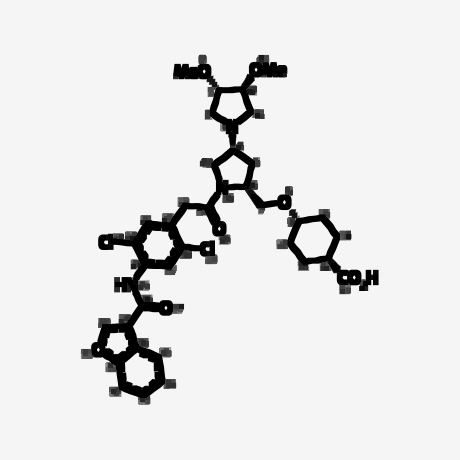 CO[C@H]1CN([C@H]2C[C@@H](CO[C@H]3CC[C@H](C(=O)O)CC3)N(C(=O)Cc3cc(Cl)c(NC(=O)c4coc5ccccc45)cc3Cl)C2)C[C@@H]1OC